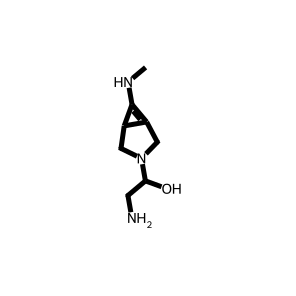 CNC1=C2CN(C(O)CN)CC21